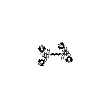 CN1C(C)(C)CC(Oc2nc(NCCCCCCNc3nc(OC4CC(C)(C)N(C)C(C)(C)C4)nc(OC4CC(C)(C)N(C)C(C)(C)C4)n3)nc(OC3CC(C)(C)N(C)C(C)(C)C3)n2)CC1(C)C